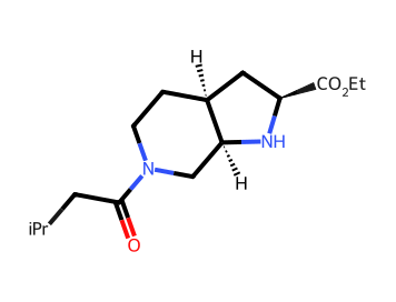 CCOC(=O)[C@@H]1C[C@@H]2CCN(C(=O)CC(C)C)C[C@@H]2N1